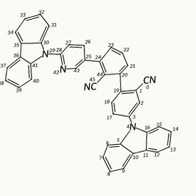 N#Cc1cc(-n2c3ccccc3c3ccccc32)ccc1-c1cccc(-c2ccc(-n3c4ccccc4c4ccccc43)nc2)c1C#N